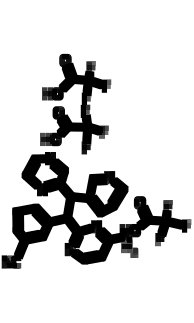 N#Cc1cccc(C(c2nccc(N)n2)C(c2cccnc2)c2cnccn2)c1.O=C(O)C(F)(F)F.O=C(O)C(F)(F)F.O=C(O)C(F)(F)F